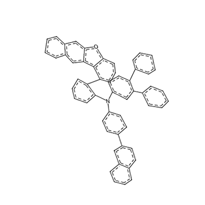 c1ccc(-c2ccc(N(c3ccc(-c4ccc5ccccc5c4)cc3)c3ccccc3-c3cccc4oc5cc6ccccc6cc5c34)cc2-c2ccccc2)cc1